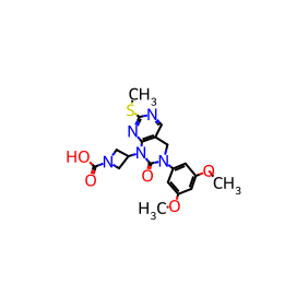 COc1cc(OC)cc(N2Cc3cnc(SC)nc3N(C3CN(C(=O)O)C3)C2=O)c1